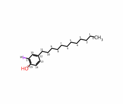 CCCCCCCCCCCCc1ccc(O)c(I)c1